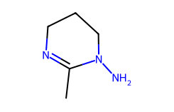 CC1=NCCCN1N